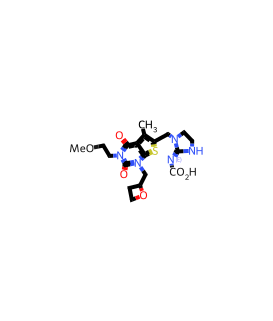 COCCn1c(=O)c2c(C)c(CN3CCN/C3=N\C(=O)O)sc2n(CC2CCO2)c1=O